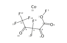 O=C(OF)C(=O)C(F)(F)C(=O)C(F)(F)F.[Co]